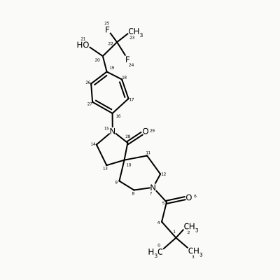 CC(C)(C)CC(=O)N1CCC2(CC1)CCN(c1ccc(C(O)C(C)(F)F)cc1)C2=O